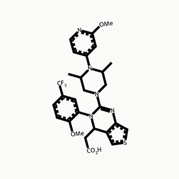 COc1cc(N2C(C)CN(C3=Nc4cscc4C(CC(=O)O)N3c3cc(C(F)(F)F)ccc3OC)CC2C)ccn1